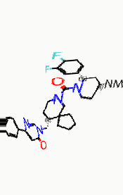 CN[C@@H]1CCN(C(=O)N2CC[C@@H](Cn3cnc(-c4ccccc4)cc3=O)C3(CCCC3)C2)[C@H](C2=CCC(F)C(F)=C2)C1